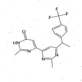 Cc1nc(-c2cc(=O)[nH]c(C)n2)cc(C(C)c2ccc(C(F)(F)F)cc2)n1